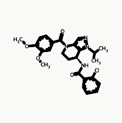 COc1ccc(C(=O)N2CC[C@H](NC(=O)c3ccccc3Cl)c3c2cnn3C(C)C)cc1OC